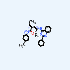 C/C=C(\C=C(/C)Nc1nc(-c2ccccc2)nc2ccccc12)C(=O)Nc1ccc(C)cc1